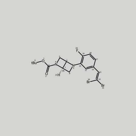 CC(C)(C)OC(=O)N1CC2[C@H]1CN2c1cc(C=C(Br)Br)ccc1F